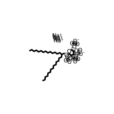 CCCCCCCCCCCCCCC(CCCCCCCCCCCCCC)CO[C@@H]1O[C@H](COS(=O)(=O)[O-])[C@H](OS(=O)(=O)[O-])[C@H](OS(=O)(=O)[O-])[C@H]1OS(=O)(=O)[O-].[Na+].[Na+].[Na+].[Na+]